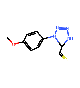 COc1ccc(N2N=NNC2C=S)cc1